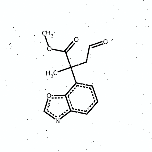 COC(=O)C(C)(CC=O)c1cccc2ncoc12